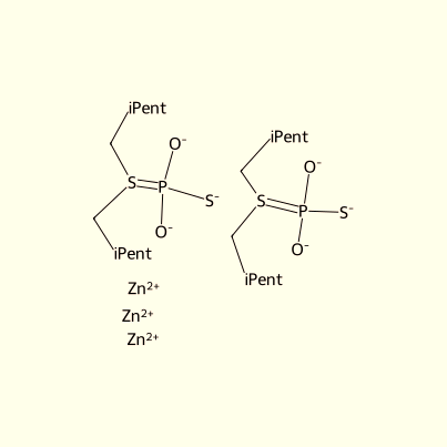 CCCC(C)CS(CC(C)CCC)=P([O-])([O-])[S-].CCCC(C)CS(CC(C)CCC)=P([O-])([O-])[S-].[Zn+2].[Zn+2].[Zn+2]